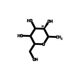 CC1OC(CO)C(O)C(O)[C@H]1O